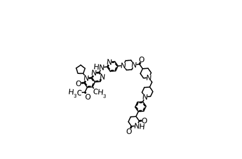 CC(=O)c1c(C)c2cnc(Nc3ccc(N4CCN(C(=O)C5CCN(CC6CCN(c7ccc(C8CCC(=O)NC8=O)cc7)CC6)CC5)CC4)cn3)nc2n(C2CCCC2)c1=O